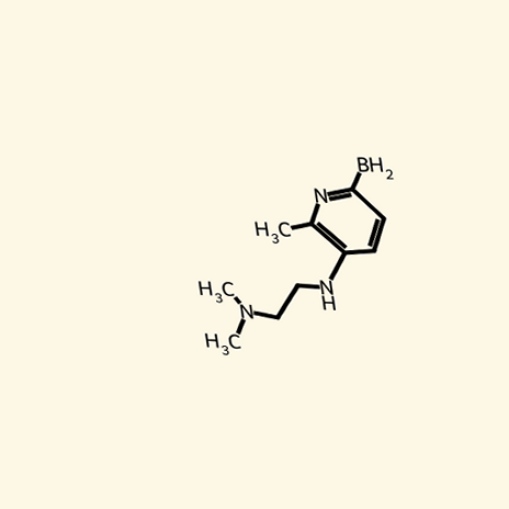 Bc1ccc(NCCN(C)C)c(C)n1